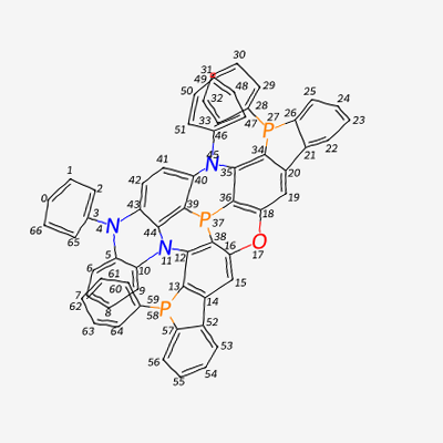 c1ccc(-n2c3ccccc3n3c4c5c(cc6oc7cc8c9ccccc9p(-c9ccccc9)c8c8c7p(c64)c4c(ccc2c43)n8-c2ccccc2)c2ccccc2p5-c2ccccc2)cc1